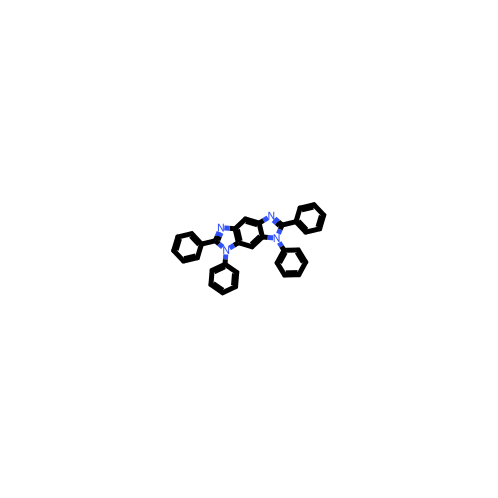 c1ccc(-c2nc3cc4nc(-c5ccccc5)n(-c5ccccc5)c4cc3n2-c2ccccc2)cc1